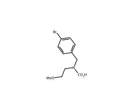 COCCN(Cc1ccc(Br)cc1)C(=O)O